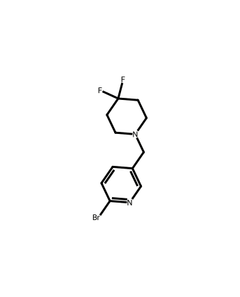 FC1(F)CCN(Cc2ccc(Br)nc2)CC1